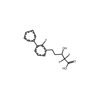 O=C(O)C(F)(F)C(O)CCc1cccc(-c2ccccc2)c1F